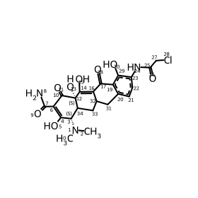 CN(C)[C@@H]1C(O)=C(C(N)=O)C(=O)[C@@]2(O)C(O)=C3C(=O)c4c(ccc(NC(=O)CCl)c4O)CC3CC12